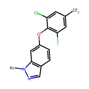 CC(=O)n1ncc2ccc(Oc3c(F)cc(C(F)(F)F)cc3Cl)cc21